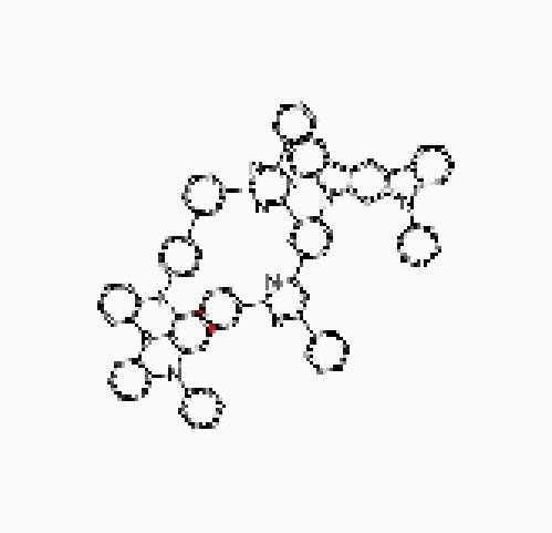 c1ccc(-c2cc(-c3ccc(-n4c5ccccc5c5cc6c7ccccc7n(-c7ccccc7)c6cc54)c(-c4nc(-c5ccccc5)nc(-c5cccc(-c6ccc(N7c8ccccc8B8c9ccccc9N(c9ccccc9)c9cccc7c98)cc6)c5)n4)c3)nc(-c3ccccc3)n2)cc1